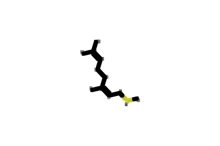 CSC/C=C(/C)CCC=C(C)C